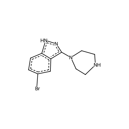 Brc1ccc2[nH]nc(N3CCNCC3)c2c1